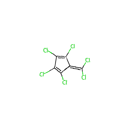 ClC(Cl)=C1C(Cl)=C(Cl)C(Cl)=C1Cl